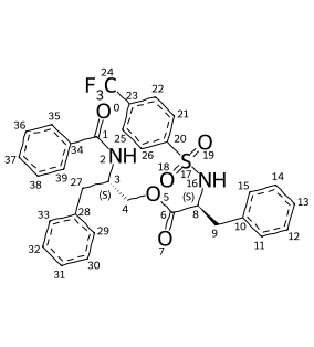 O=C(N[C@H](COC(=O)[C@H](Cc1ccccc1)NS(=O)(=O)c1ccc(C(F)(F)F)cc1)Cc1ccccc1)c1ccccc1